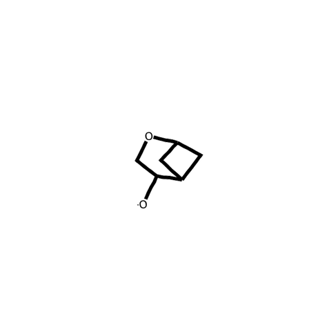 [O]C1COC2CC1C2